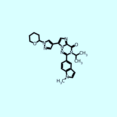 CC(C)n1c(-c2ccc3c(ccn3C)c2)nn2c(-c3cnn(C4CCCCO4)c3)cnc2c1=O